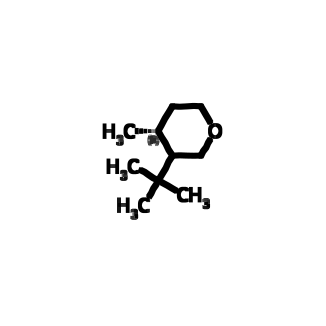 C[C@@H]1CCOCC1C(C)(C)C